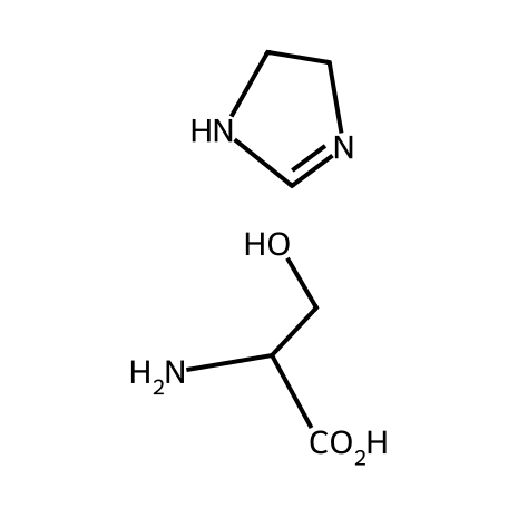 C1=NCCN1.NC(CO)C(=O)O